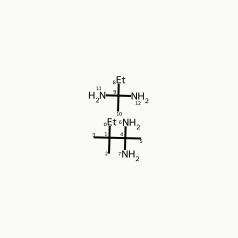 CCC(C)(C)C(C)(N)N.CCC(C)(N)N